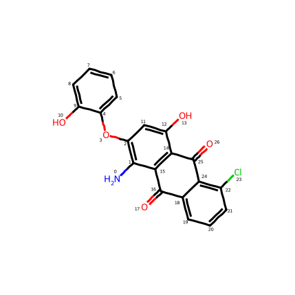 Nc1c(Oc2ccccc2O)cc(O)c2c1C(=O)c1cccc(Cl)c1C2=O